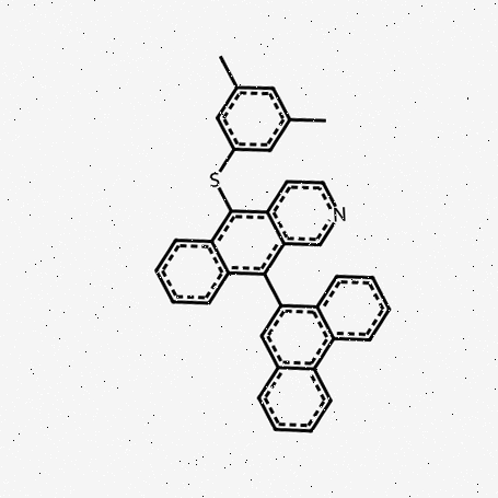 Cc1cc(C)cc(Sc2c3ccccc3c(-c3cc4ccccc4c4ccccc34)c3cnccc23)c1